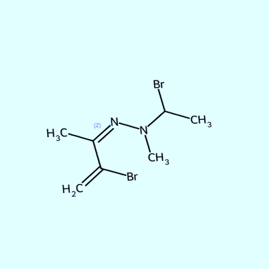 C=C(Br)/C(C)=N\N(C)C(C)Br